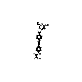 CC[S+]([O-])C[C@H](NC(=O)c1ccc(C#Cc2ccc(NC(=O)[C@H](C)N)cc2)cc1)C(=O)NO